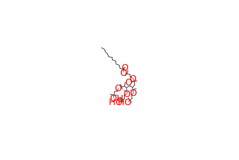 CCCCCCCCCCCC(=O)OC(C)(C)CCOC(C)(C)CC(C1OCC(C(C)(C)OCCC(C)(C)O)C1C(C)(C)OCCC(C)(C)O)C(C)(C)OCCC(C)(C)O